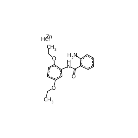 CCOc1ccc(OCC)c(NC(=O)c2ccccc2N)c1.Cl.[Zn]